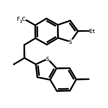 CCc1cc2cc(C(F)(F)F)c(CC(C)c3cc4ccc(C)cc4s3)cc2s1